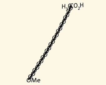 COCCOCCOCCOCCOCCOCCOCCOCCOCCOCCOCCOCCOCCOCCOCCOCCOCCOCCOCCOCCOCCOCCOC(C)C(=O)O